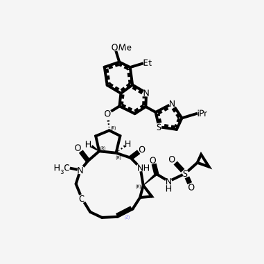 CCc1c(OC)ccc2c(O[C@@H]3C[C@H]4C(=O)N[C@]5(C(=O)NS(=O)(=O)C6CC6)CC5/C=C\CCCCN(C)C(=O)[C@@H]4C3)cc(-c3nc(C(C)C)cs3)nc12